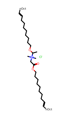 CCCCCCCCC=CCCCCCCCCOC(=O)C[N+](C)(C)C(C)OCCCCCCCCC=CCCCCCCCC.[Cl-]